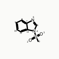 CS(=O)(=O)n1cnc2ccccc21